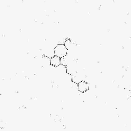 CN1CCc2c(Cl)ccc(OCC=Cc3ccccc3)c2CC1